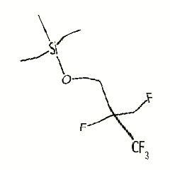 C[Si](C)(C)OCC(F)(F)C(F)(F)F